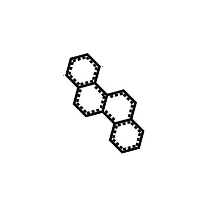 [c]1cc[c]c2c1ccc1c3ccccc3ccc21